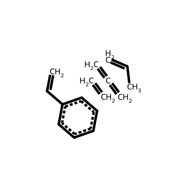 C=C.C=C=C.C=CC.C=Cc1ccccc1